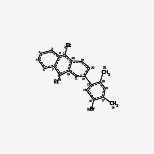 CCc1c2ccccc2c(CC)c2cc(-c3cc(Br)c(C)cc3C)ccc12